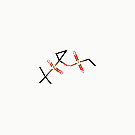 CCS(=O)(=O)OC1(S(=O)(=O)C(C)(C)C)CC1